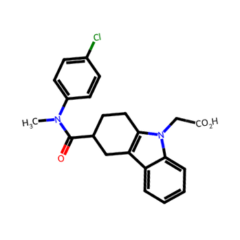 CN(C(=O)C1CCc2c(c3ccccc3n2CC(=O)O)C1)c1ccc(Cl)cc1